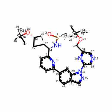 CC(C)(C)[S@@+]([O-])N[C@H](c1cccc(-c2ccc3cnn(-c4cncc(CO[Si](C)(C)C(C)(C)C)n4)c3c2)n1)[C@H]1C[C@@H](O[Si](C)(C)C(C)(C)C)C1